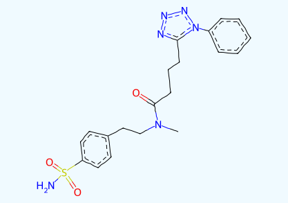 CN(CCc1ccc(S(N)(=O)=O)cc1)C(=O)CCCc1nnnn1-c1ccccc1